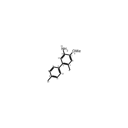 COc1cc(C)c(-c2ccc(C)cc2)cc1N